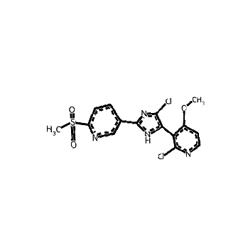 COc1ccnc(Cl)c1-c1[nH]c(-c2ccc(S(C)(=O)=O)nc2)nc1Cl